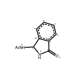 CC(=O)NC1NC(=O)c2ccccc21